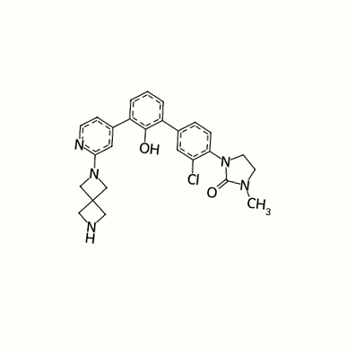 CN1CCN(c2ccc(-c3cccc(-c4ccnc(N5CC6(CNC6)C5)c4)c3O)cc2Cl)C1=O